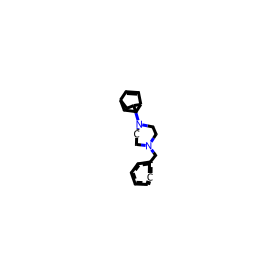 C1=CC2CCC1CC2N1CCN(Cc2ccccc2)CC1